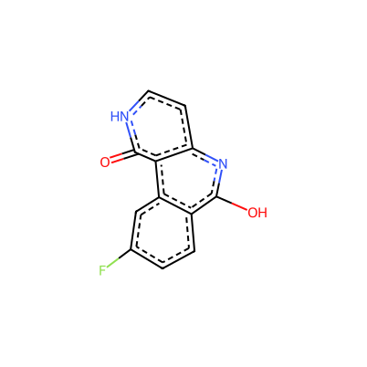 O=c1[nH]ccc2nc(O)c3ccc(F)cc3c12